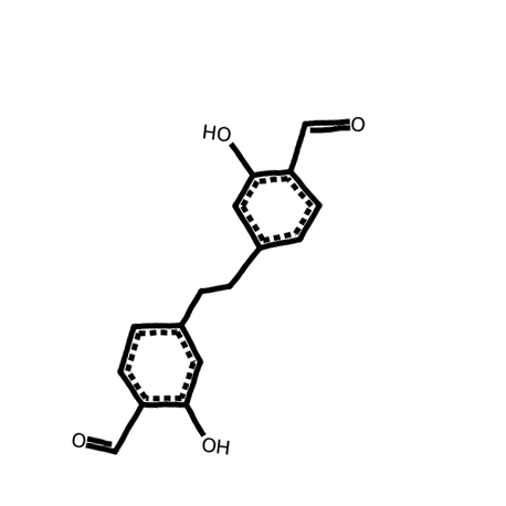 O=Cc1ccc(CCc2ccc(C=O)c(O)c2)cc1O